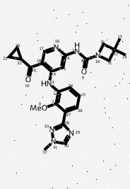 COc1c(Nc2cc(NC(=O)N3CC(C)(C)C3)ncc2C(=O)C2CC2)cccc1-c1ncn(C)n1